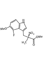 COC(=O)[C@](C)(Cc1c[nH]c2ccc(OC)c(F)c12)[N+](=O)[O-]